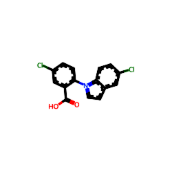 O=C(O)c1cc(Cl)ccc1-n1ccc2cc(Cl)ccc21